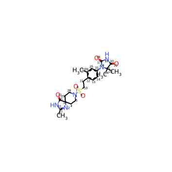 CC1=NC2(CCN(S(=O)(=O)CCc3ccc(N4C(=O)NC(=O)C4(C)C)cc3C)CC2)C(=O)N1